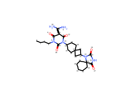 CCCCN1C(=O)C(=C(N)N)C(=O)N(C2CCC3(CC2)CC(N2C(=O)NC(=O)C24CCCCC4)C3)C1=O